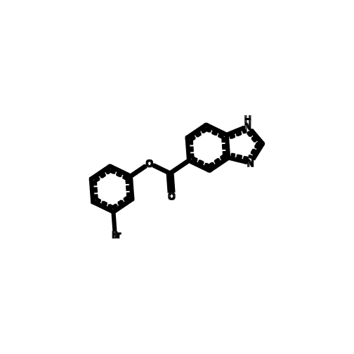 O=C(Oc1cccc(Br)c1)c1ccc2[nH]cnc2c1